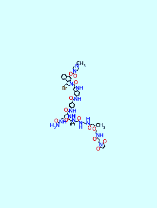 CC(C)[C@H](NCC(=O)NCCNC(=O)C[C@H](C)OCCNC(=O)CCN1C(=O)C=CC1=O)C(=O)N[C@@H](CCCNC(N)=O)C(=O)Nc1ccc(C(=O)Nc2ccc3[nH]c(C(=O)N4C[C@@H](CBr)c5c4cc(OC(=O)N4CCN(C)CC4)c4ccccc54)cc3c2)cc1